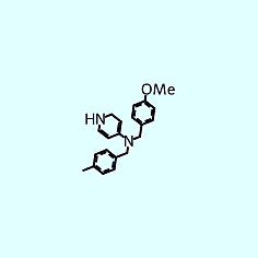 COc1ccc(CN(Cc2ccc(C)cc2)C2=CCNC=C2)cc1